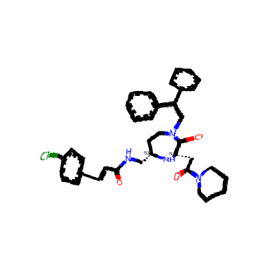 O=C(C=Cc1ccc(Cl)cc1)NC[C@@H]1CCN(CC(c2ccccc2)c2ccccc2)C(=O)[C@H](CC(=O)N2CCCCC2)N1